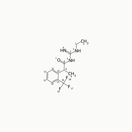 CCNC(=N)NC(=O)C(C)c1ccccc1C(F)(F)F